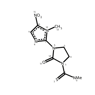 CNC(=S)N1CCN(c2ncc([N+](=O)[O-])n2C)C1=O